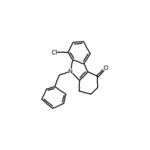 O=C1CCCc2c1c1cccc(Cl)c1n2Cc1ccccc1